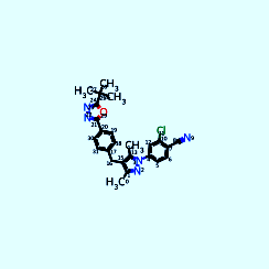 Cc1nn(-c2ccc(C#N)c(Cl)c2)c(C)c1Cc1ccc(-c2nnc(C(C)(C)C)o2)cc1